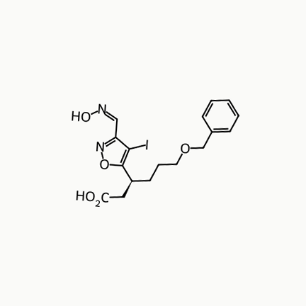 O=C(O)C[C@H](CCCOCc1ccccc1)c1onc(/C=N\O)c1I